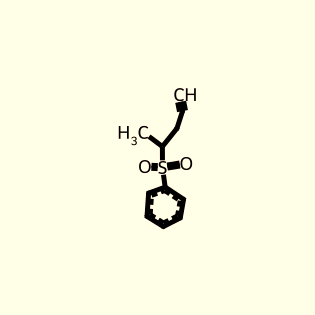 C#CCC(C)S(=O)(=O)c1ccccc1